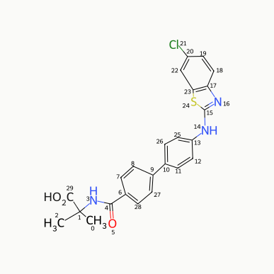 CC(C)(NC(=O)c1ccc(-c2ccc(Nc3nc4ccc(Cl)cc4s3)cc2)cc1)C(=O)O